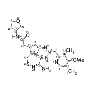 COc1c(C)cnc(Cn2nc3cc(CC(=O)N[C@H]4CCOC4)c4c-3c(n2)C(N)=NSC4)c1C